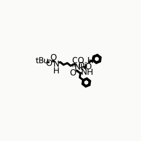 CC(C)(C)OC(=O)NCCCC[C@H](NC(=O)C(Cc1ccccc1)NC(=O)OCc1ccccc1)C(=O)O